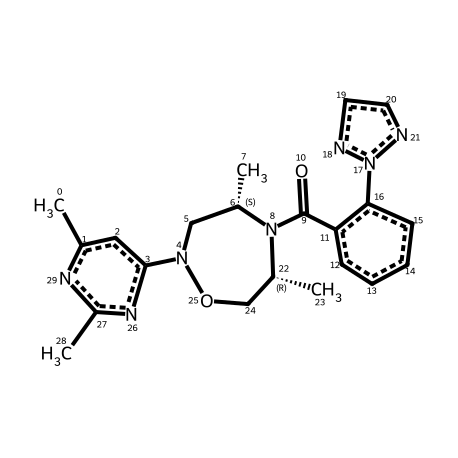 Cc1cc(N2C[C@H](C)N(C(=O)c3ccccc3-n3nccn3)[C@H](C)CO2)nc(C)n1